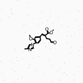 COC(=O)/C(=C/c1ccc(-n2cnc(C)c2)c(OC)c1)CCC=O